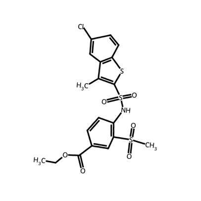 CCOC(=O)c1ccc(NS(=O)(=O)c2sc3ccc(Cl)cc3c2C)c(S(C)(=O)=O)c1